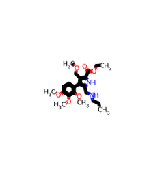 CCCNCc1[nH]c(C(=O)OCC)c(COC)c1-c1ccc(OC)c(OC)c1OC